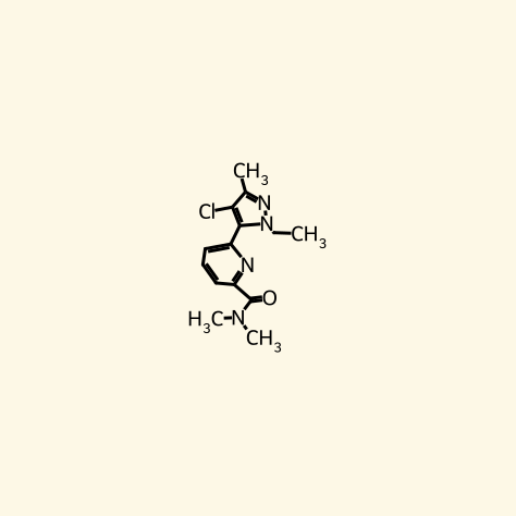 CCn1nc(C)c(Cl)c1-c1cccc(C(=O)N(C)C)n1